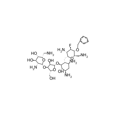 NC[C@@H]1O[C@H](O[C@H]2[C@@H](O)[C@H](O[C@@H]3[C@@H](O)[C@H](N)C[C@H](N)[C@H]3C[C@H]3O[C@H](CN)[C@@H](OCc4ccccc4)[C@H](F)[C@H]3N)O[C@@H]2CO)[C@H](N)[C@@H](O)[C@@H]1O